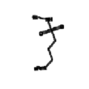 C[CH]NS(=O)(=O)CCCCCCCC